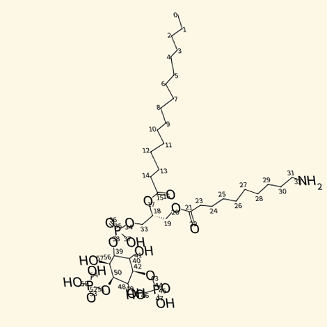 CCCCCCCCCCCCCCCC(=O)O[C@H](COC(=O)CCCCCCCCCN)COP(=O)(O)OC1C(O)[C@@H](OP(=O)(O)O)C(O)[C@@H](OP(=O)(O)O)[C@H]1O